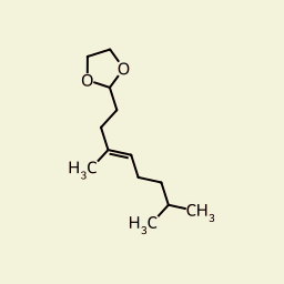 CC(=CCCC(C)C)CCC1OCCO1